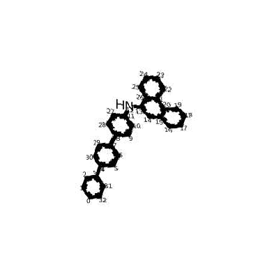 c1ccc(-c2ccc(-c3ccc(Nc4cc5ccccc5c5ccccc45)cc3)cc2)cc1